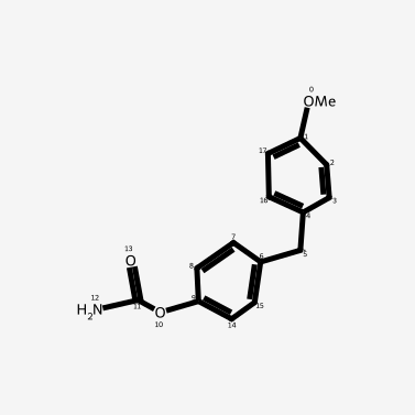 COc1ccc([CH]c2ccc(OC(N)=O)cc2)cc1